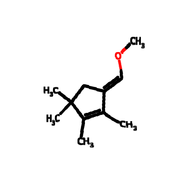 COC=C1CC(C)(C)C(C)=C1C